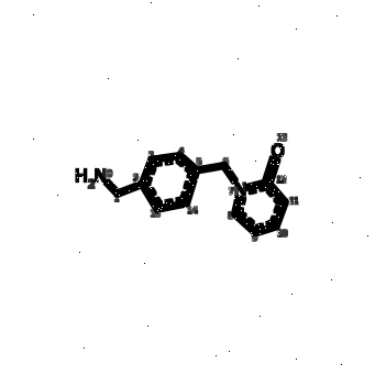 NCc1ccc(Cn2ccccc2=O)cc1